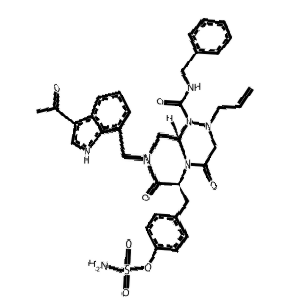 C=CCN1CC(=O)N2[C@@H](Cc3ccc(OS(N)(=O)=O)cc3)C(=O)N(Cc3cccc4c(C(C)=O)c[nH]c34)C[C@@H]2N1C(=O)NCc1ccccc1